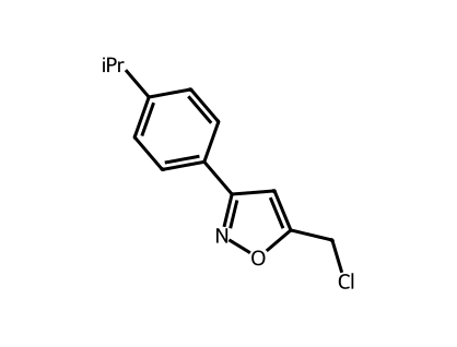 CC(C)c1ccc(-c2cc(CCl)on2)cc1